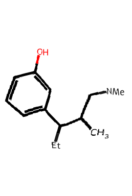 CCC(c1cccc(O)c1)C(C)CNC